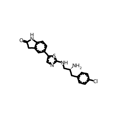 N[C@@H](CNc1ncc(-c2ccc3c(c2)CC(=O)N3)s1)Cc1ccc(Cl)cc1